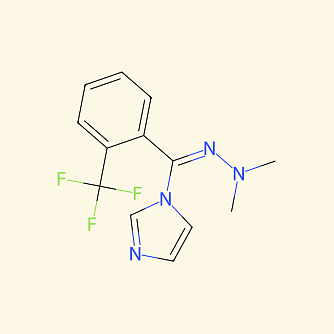 CN(C)N=C(c1ccccc1C(F)(F)F)n1ccnc1